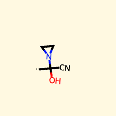 [CH2]C(O)(C#N)N1CC1